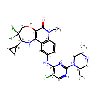 C[C@@H]1CN[C@@H](C)CN1c1ncc(Cl)c(Nc2ccc3c(c2)c2c(c(=O)n3C)OCC(F)(F)[C@H](C3CC3)N2)n1